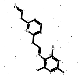 Cc1cc(C)c(N=CCc2cccc(CC=O)n2)c(Cl)c1